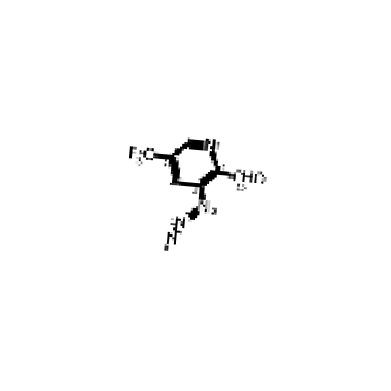 [N-]=[N+]=Nc1cc(C(F)(F)F)cnc1C=O